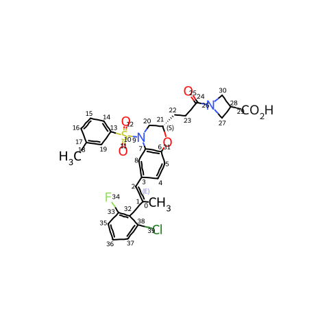 C/C(=C\c1ccc2c(c1)N(S(=O)(=O)c1cccc(C)c1)C[C@H](CCC(=O)N1CC(C(=O)O)C1)O2)c1c(F)cccc1Cl